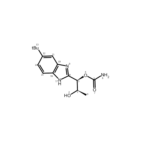 C[C@@H](O)[C@H](OC(N)=O)c1nc2cc(C(C)(C)C)ccc2[nH]1